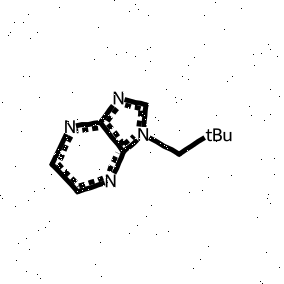 CC(C)(C)Cn1cnc2nccnc21